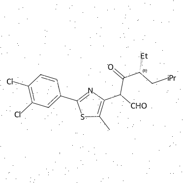 CC[C@H](CC(C)C)C(=O)C(C=O)c1nc(-c2ccc(Cl)c(Cl)c2)sc1C